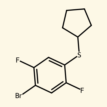 Fc1cc(SC2CCCC2)c(F)cc1Br